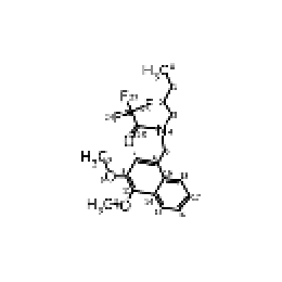 CCCCN(Cc1cc(OC)c(OC)c2ccccc12)C(=O)C(F)(F)F